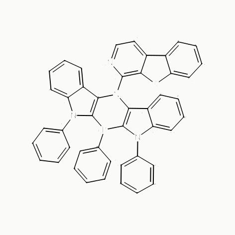 c1ccc(B2c3c(c4ccccc4n3-c3ccccc3)N(c3nccc4c3sc3ccccc34)c3c2n(-c2ccccc2)c2ccccc32)cc1